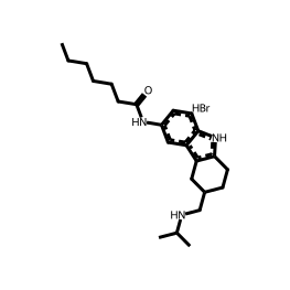 Br.CCCCCCC(=O)Nc1ccc2[nH]c3c(c2c1)CC(CNC(C)C)CC3